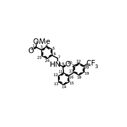 COC(=O)c1ccc(CNC(=O)c2ccccc2-c2ccc(C(F)(F)F)cc2)cc1